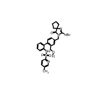 CCCCC1=NC2(CCCC2)C(=O)N1Cc1ccc(-c2ccccc2NS(=O)(=O)c2ccc(C)cn2)c(COCC)c1